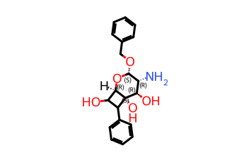 N[C@H]1[C@@H](OCc2ccccc2)O[C@@H]2C(O)C(c3ccccc3)[C@]2(O)[C@@H]1O